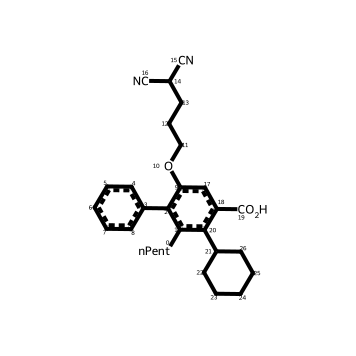 CCCCCc1c(-c2ccccc2)c(OCCCC(C#N)C#N)cc(C(=O)O)c1C1CCCCC1